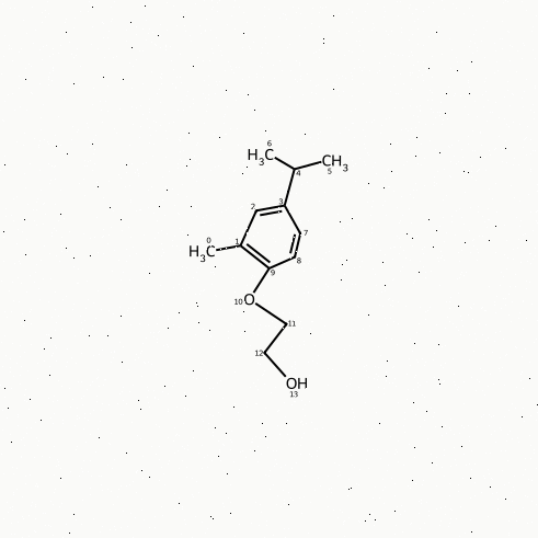 Cc1cc(C(C)C)ccc1OCCO